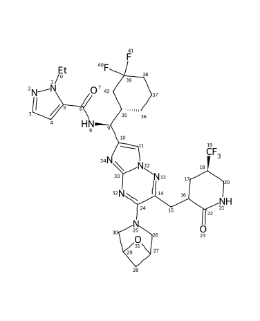 CCn1nccc1C(=O)N[C@H](c1cn2nc(CC3C[C@@H](C(F)(F)F)CNC3=O)c(N3CC4CC(C3)O4)nc2n1)[C@H]1CCCC(F)(F)C1